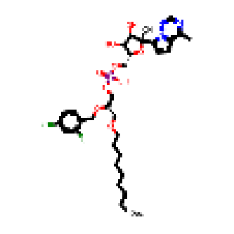 CCCCCCCCCCCCCCCCCCOC[C@H](COP(=O)(O)OC[C@H]1O[C@@](C#N)(c2ccc3c(C)ncnn23)[C@H](O)[C@@H]1O)OCc1ccc(Cl)cc1Cl